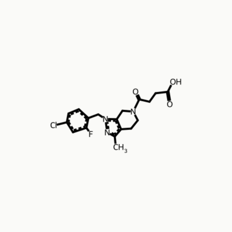 Cc1nn(Cc2ccc(Cl)cc2F)c2c1CCN(C(=O)CCC(=O)O)C2